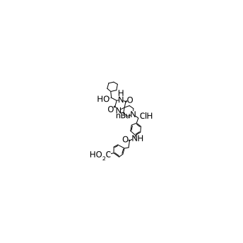 CCCCN1C(=O)[C@@H]([C@H](O)C2CCCCC2)NC(=O)C12CCN(Cc1ccc(NC(=O)Cc3ccc(C(=O)O)cc3)cc1)CC2.Cl